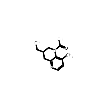 Cc1ccnc2c1N(C(=O)O)CC(CO)C2